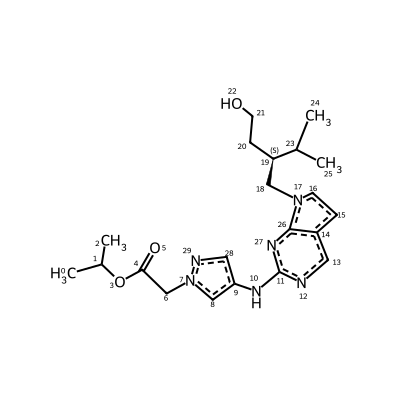 CC(C)OC(=O)Cn1cc(Nc2ncc3ccn(C[C@@H](CCO)C(C)C)c3n2)cn1